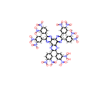 O=[N+]([O-])c1ccc(-c2nc3c(nc2-c2ccc([N+](=O)[O-])c([N+](=O)[O-])c2)c2nc(-c4ccc([N+](=O)[O-])c([N+](=O)[O-])c4)c(-c4ccc([N+](=O)[O-])c([N+](=O)[O-])c4)nc2c2nc(-c4ccc([N+](=O)[O-])c([N+](=O)[O-])c4)c(-c4ccc([N+](=O)[O-])c([N+](=O)[O-])c4)nc32)cc1N(O)O